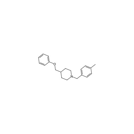 Cc1ccc(CN2CCC(COc3ccccc3)CC2)cc1